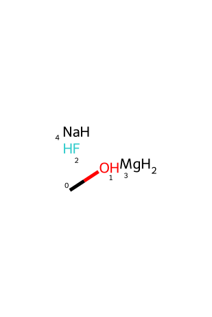 CO.F.[MgH2].[NaH]